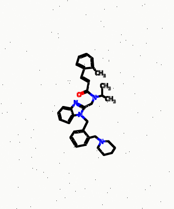 Cc1ccccc1C=CC(=O)N(Cc1nc2ccccc2n1Cc1ccccc1CN1CCCCC1)C(C)C